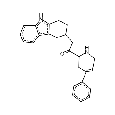 O=C(CC1CCc2[nH]c3ccccc3c2C1)C1CC(c2ccccc2)=CCN1